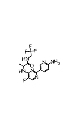 C[C@H](Nc1nc(-c2ccc(N)nc2)ncc1F)C(=O)NCC(F)(F)F